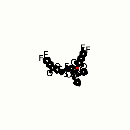 O=C1C(=CC2=Cc3sc4c(sc5cc(C=C6C(=O)c7cc8cc(F)c(F)cc8cc7C6=O)sc54)c3C2(C(=O)OCc2ccccc2)C(=O)OCc2ccccc2)C(=O)c2cc3cc(F)c(F)cc3cc21